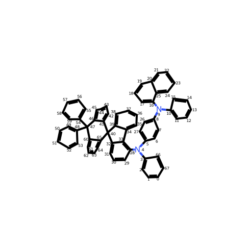 c1ccc(N(c2ccc(N(c3ccccc3)c3cccc4ccccc34)cc2)c2cccc3c2-c2ccccc2C32c3ccccc3C(c3ccccc3)(c3ccccc3)c3ccccc32)cc1